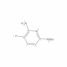 CNc1ccc(F)c(N)n1